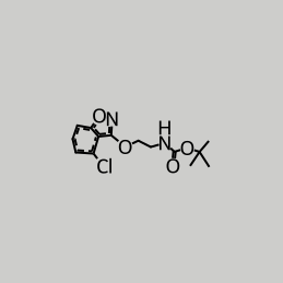 CC(C)(C)OC(=O)NCCOc1noc2cccc(Cl)c12